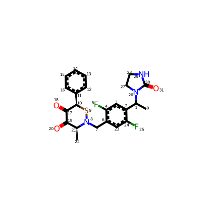 CC(c1cc(F)c(CN2S[C@H](c3ccccc3)C(=O)C(=O)[C@@H]2C)cc1F)N1CCNC1=O